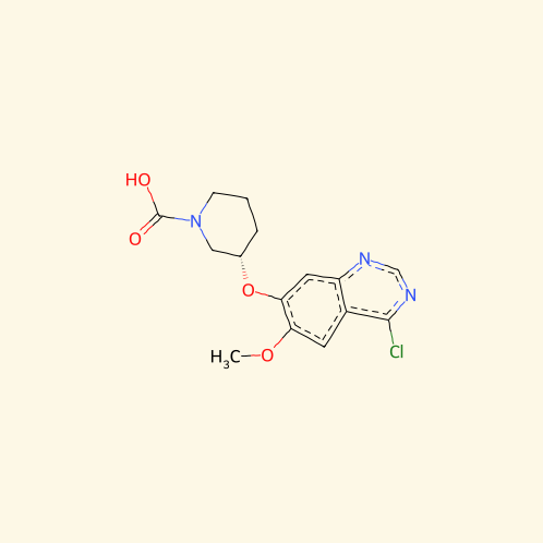 COc1cc2c(Cl)ncnc2cc1O[C@H]1CCCN(C(=O)O)C1